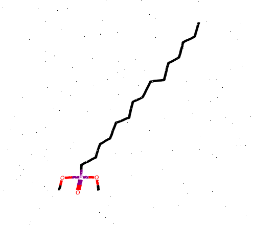 CCCCCCCCCCCCCCCP(=O)(OC)OC